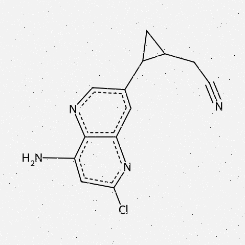 N#CCC1CC1c1cnc2c(N)cc(Cl)nc2c1